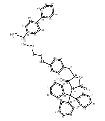 CC(=NOCCOc1ccc(CC2SC(=O)N(C(c3ccccc3)(c3ccccc3)c3ccccc3)C2=O)cc1)c1ccc(-c2ccccc2)nc1